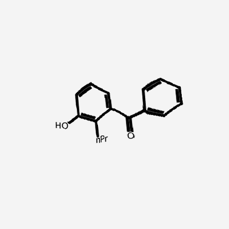 CCCc1c(O)cccc1C(=O)c1ccccc1